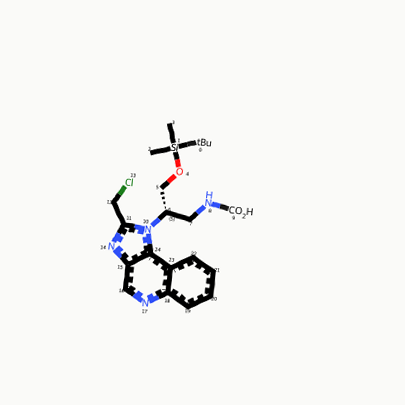 CC(C)(C)[Si](C)(C)OC[C@H](CNC(=O)O)n1c(CCl)nc2cnc3ccccc3c21